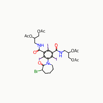 CC(=O)OCC(CNC(=O)c1c(I)c(C(=O)NCC(COC(C)=O)OC(C)=O)c(I)c(N2CCCCC(Br)C2=O)c1I)OC(C)=O